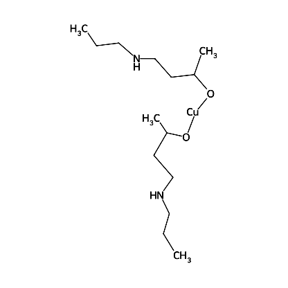 CCCNCCC(C)[O][Cu][O]C(C)CCNCCC